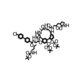 C[C@@H]1NC(=O)[C@@H](N(C)C(=O)[C@H](CCCCNC(=O)OC(C)(C)C)NC(=O)c2ccc(-c3ccc(Cl)cc3)cc2)c2ccc(OC(=O)OC(C)(C)C)c(c2)-c2cc(ccc2OC(=O)OC(C)(C)C)C[C@@H](C(=O)NCC(=O)CC2CCNC2=O)NC1=O